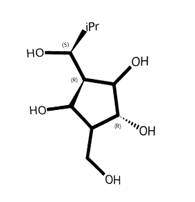 CC(C)[C@H](O)[C@@H]1C(O)C(CO)[C@@H](O)C1O